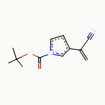 C=C(C#N)c1ccn(C(=O)OC(C)(C)C)c1